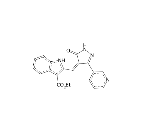 CCOC(=O)c1c(C=C2C(=O)NN=C2c2cccnc2)[nH]c2ccccc12